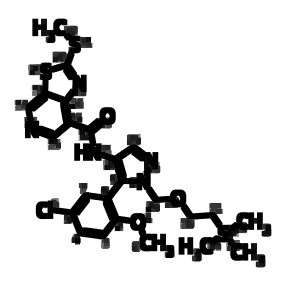 COc1ccc(Cl)cc1-c1c(NC(=O)c2cncc3sc(SC)nc23)cnn1COCC[Si](C)(C)C